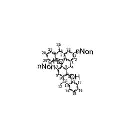 CCCCCCCCCc1cc(Cc2cc(CCCCCCCCC)cc(C(C)c3ccccc3)c2O)c(O)c(C(C)c2ccccc2)c1